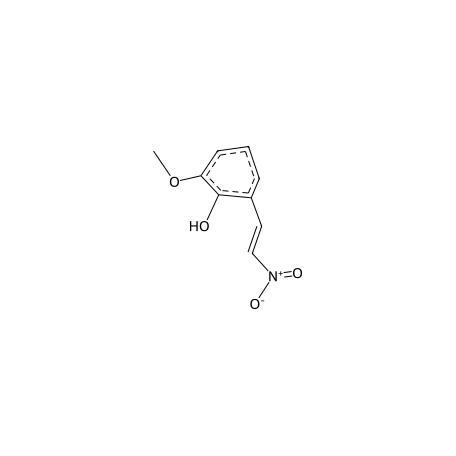 COc1cccc(C=C[N+](=O)[O-])c1O